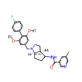 CCOc1cc(CN2CC[C@H]3C(NC(=O)c4cncc(C)c4)CC[C@H]32)cc(OCC)c1-c1ccc(F)cc1